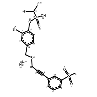 CS(=O)(=O)c1cccc(C#CCSCc2ccc(OP(=O)(O)C(F)F)c(Br)c2)c1.[Na].[Na]